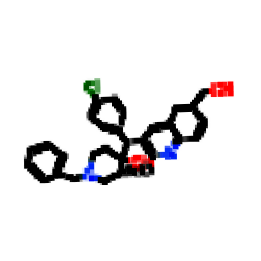 COc1nc2ccc(CO)cc2cc1C(c1ccc(Cl)cc1)C1(O)CCN(Cc2ccccc2)CC1